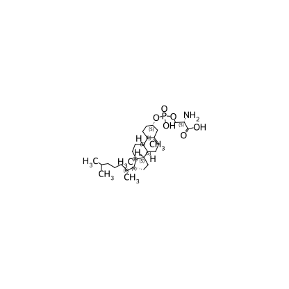 CC(C)CCC[C@@H](C)[C@H]1CC[C@H]2[C@@H]3CC=C4C[C@@H](OP(=O)(O)OC[C@H](N)C(=O)O)CC[C@]4(C)[C@H]3CC[C@]12C